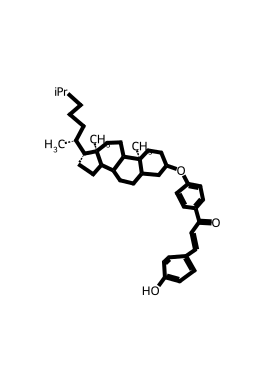 CC(C)CCC[C@@H](C)[C@H]1CCC2C3CCC4CC(Oc5ccc(C(=O)C=Cc6ccc(O)cc6)cc5)CC[C@]4(C)C3CC[C@@]21C